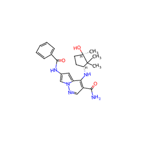 CC1(C)[C@H](Nc2c(C(N)=O)cnn3cc(NC(=O)c4ccccc4)cc23)CC[C@@]1(C)O